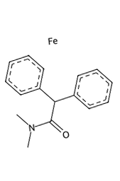 CN(C)C(=O)C(c1ccccc1)c1ccccc1.[Fe]